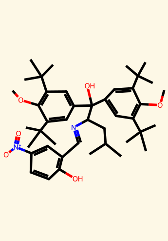 COc1c(C(C)(C)C)cc(C(O)(c2cc(C(C)(C)C)c(OC)c(C(C)(C)C)c2)C(CC(C)C)N=Cc2cc([N+](=O)[O-])ccc2O)cc1C(C)(C)C